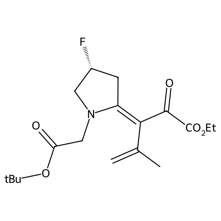 C=C(C)/C(C(=O)C(=O)OCC)=C1/C[C@@H](F)CN1CC(=O)OC(C)(C)C